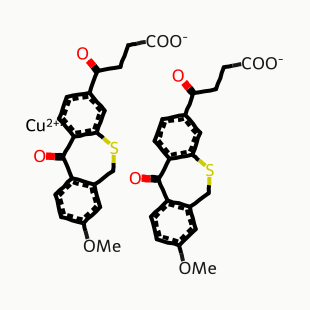 COc1ccc2c(c1)CSc1cc(C(=O)CCC(=O)[O-])ccc1C2=O.COc1ccc2c(c1)CSc1cc(C(=O)CCC(=O)[O-])ccc1C2=O.[Cu+2]